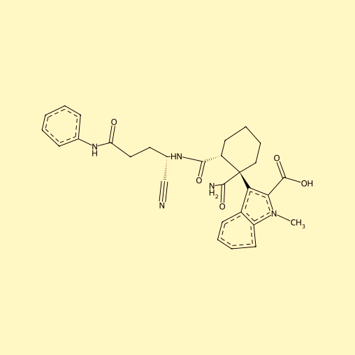 Cn1c(C(=O)O)c([C@]2(C(N)=O)CCCC[C@H]2C(=O)N[C@H](C#N)CCC(=O)Nc2ccccc2)c2ccccc21